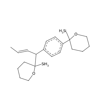 CC=CC(c1ccc(C2([SiH3])CCCCO2)cc1)C1([SiH3])CCCCO1